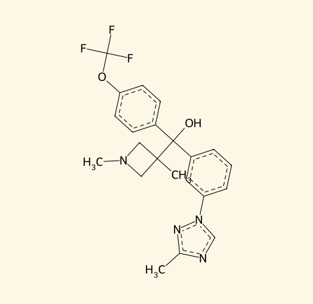 Cc1ncn(-c2cccc(C(O)(c3ccc(OC(F)(F)F)cc3)C3(C)CN(C)C3)c2)n1